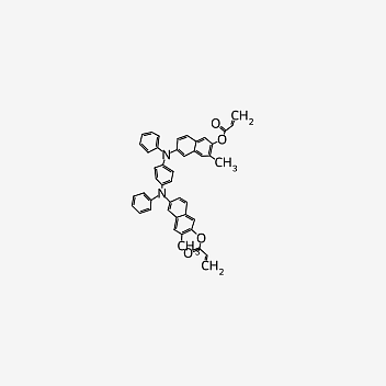 C=CC(=O)Oc1cc2ccc(N(c3ccccc3)c3ccc(N(c4ccccc4)c4ccc5cc(OC(=O)C=C)c(C)cc5c4)cc3)cc2cc1C